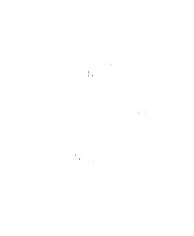 O=[N+]([O-])c1cccc(-c2nocc2CCl)c1